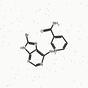 NC(=O)c1cccnc1.Nc1ncnc2[nH]c(Br)nc12